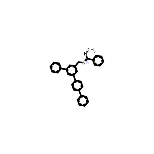 C=N/C(=N\Cc1cc(-c2ccccc2)cc(-c2ccc(-c3ccccc3)cc2)c1)c1ccccc1